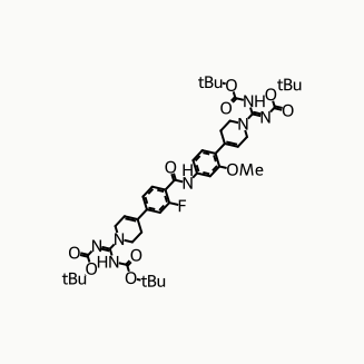 COc1cc(NC(=O)c2ccc(C3=CCN(C(=NC(=O)OC(C)(C)C)NC(=O)OC(C)(C)C)CC3)cc2F)ccc1C1=CCN(C(=NC(=O)OC(C)(C)C)NC(=O)OC(C)(C)C)CC1